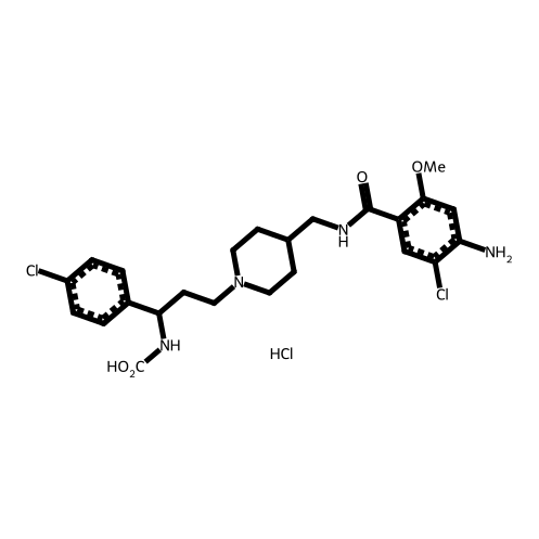 COc1cc(N)c(Cl)cc1C(=O)NCC1CCN(CCC(NC(=O)O)c2ccc(Cl)cc2)CC1.Cl